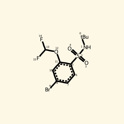 CC(C)(C)NS(=O)(=O)c1ccc(Br)cc1OC(F)F